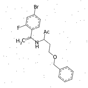 C=C(NC(CCOCc1ccccc1)C(C)=O)c1ccc(Br)cc1F